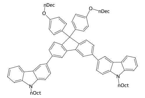 CCCCCCCCCCOc1ccc(C2(c3ccc(OCCCCCCCCCC)cc3)c3ccc(-c4ccc5c(c4)c4ccccc4n5CCCCCCCC)cc3-c3cc(-c4ccc5c(c4)c4ccccc4n5CCCCCCCC)ccc32)cc1